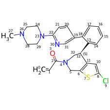 C=CC(=O)N1Cc2sc(Cl)cc2[C@H](c2ccccc2-c2ccc(N3CCN(C)CC3)nc2)C1